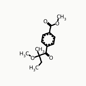 CCC(C)(OC)C(=O)c1ccc(C(=O)OC)cc1